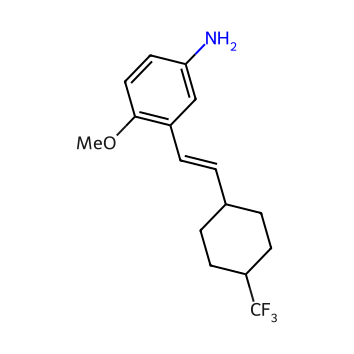 COc1ccc(N)cc1/C=C/C1CCC(C(F)(F)F)CC1